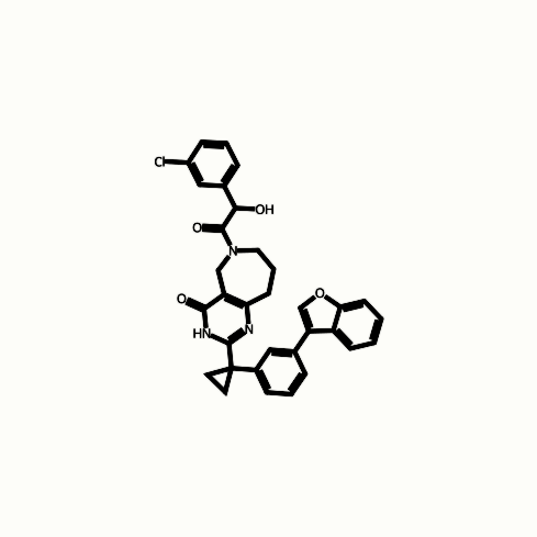 O=C(C(O)c1cccc(Cl)c1)N1CCCc2nc(C3(c4cccc(-c5coc6ccccc56)c4)CC3)[nH]c(=O)c2C1